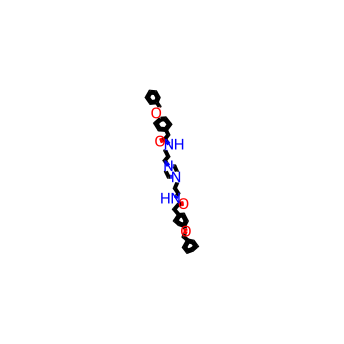 O=C(Cc1ccc(OCc2ccccc2)cc1)NCCCN1CCN(CCCNC(=O)Cc2ccc(OCc3ccccc3)cc2)CC1